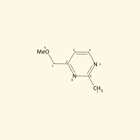 COCc1ccnc(C)n1